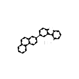 Cc1cccc2oc3ccc(-c4ccc5c(ccc6ccccc65)c4)cc3c12